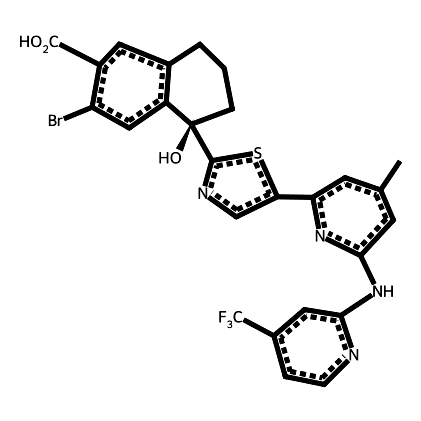 Cc1cc(Nc2cc(C(F)(F)F)ccn2)nc(-c2cnc([C@@]3(O)CCCc4cc(C(=O)O)c(Br)cc43)s2)c1